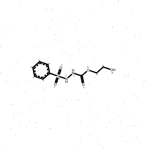 O=C(NNS(=O)(=O)c1ccccc1)OCCO